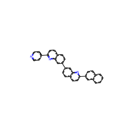 c1ccc2cc(-c3ccc4ccc(-c5ccc6ccc(-c7ccncc7)nc6c5)cc4n3)ccc2c1